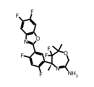 CC1(C)OCC(N)=N[C@](C)(c2cc(-c3nc4cc(F)c(F)cc4o3)c(F)cc2F)C1(F)F